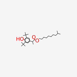 CC(C)CCCCCCCCOC(=O)C(C)c1cc(C(C)(C)C)c(O)c(C(C)(C)C)c1